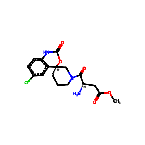 COC(=O)C[C@H](N)C(=O)N1CCC[C@@]2(C1)OC(=O)Nc1ccc(Cl)cc12